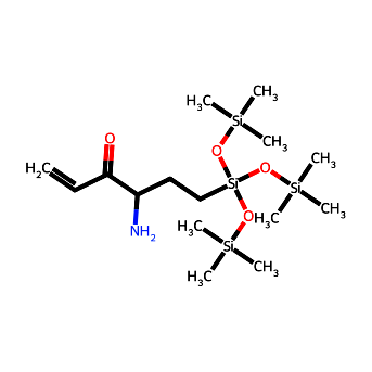 C=CC(=O)C(N)CC[Si](O[Si](C)(C)C)(O[Si](C)(C)C)O[Si](C)(C)C